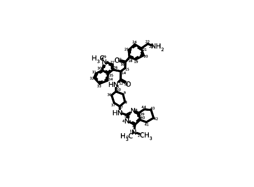 CN(C)c1nc(NC2CCC(NC(=O)C(CC(=O)c3ccc(CN)cc3)c3cn(C)c4ccccc34)CC2)nc2c1CCCC2